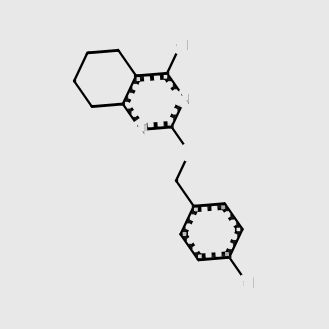 Cc1nc(SCc2ccc(Cl)cc2)nc2c1CCCC2